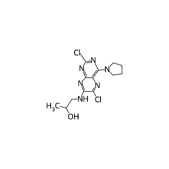 CC(O)CNc1nc2nc(Cl)nc(N3CCCC3)c2nc1Cl